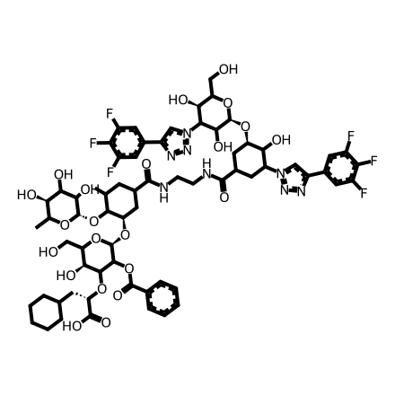 CC1CC(C(=O)NCCNC(=O)C2CC(n3cc(-c4cc(F)c(F)c(F)c4)nn3)C(O)[C@H](O[C@@H]3OC(CO)[C@H](O)C(n4cc(-c5cc(F)c(F)c(F)c5)nn4)C3O)C2)C[C@@H](O[C@@H]2OC(CO)[C@H](O)C(O[C@@H](CC3CCCCC3)C(=O)O)C2OC(=O)c2ccccc2)C1O[C@@H]1OC(C)[C@@H](O)C(O)C1O